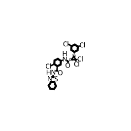 O=C(Nc1nc2ccccc2s1)c1cc(NC(=O)[C@@H]2[C@@H](c3cc(Cl)cc(Cl)c3)C2(Cl)Cl)ccc1Cl